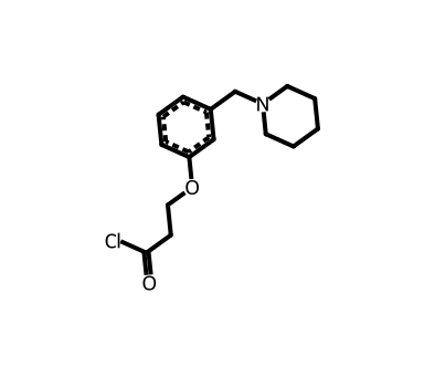 O=C(Cl)CCOc1cccc(CN2CCCCC2)c1